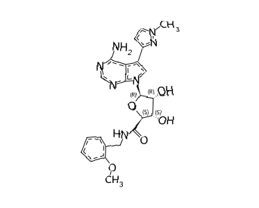 COc1ccccc1CNC(=O)[C@H]1O[C@@H](n2cc(-c3ccn(C)n3)c3c(N)ncnc32)[C@H](O)[C@@H]1O